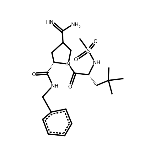 CC(C)(C)C[C@@H](NS(C)(=O)=O)C(=O)N1CC(C(=N)N)C[C@H]1C(=O)NCc1ccccc1